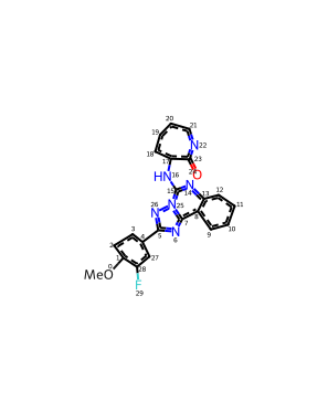 COc1ccc(-c2nc3c4ccccc4nc(Nc4ccccnc4=O)n3n2)cc1F